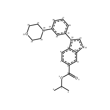 CC(C)OC(=O)c1ccc2c(c1)ncn2-c1cccc(N2CCOCC2)c1